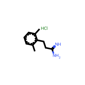 Cc1cccc(C)c1CCC(=N)N.Cl